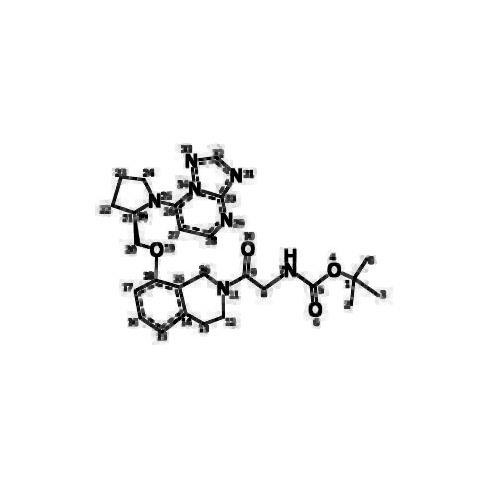 CC(C)(C)OC(=O)NCC(=O)N1CCc2cccc(OC[C@H]3CCCN3c3ccnc4ncnn34)c2C1